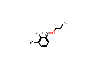 CC(C)CCO[SiH2]c1cccc(C(C)C)c1C(C)C